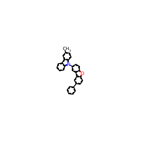 Cc1ccc2c(c1)c1ccccc1n2-c1ccc2oc3ccc(-c4ccccc4)cc3c2c1